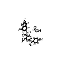 CCN(c1ncc(C(=O)Nc2cc(F)c3nn(C)cc3c2)c(OC)n1)C1CCNCC1.O=CO